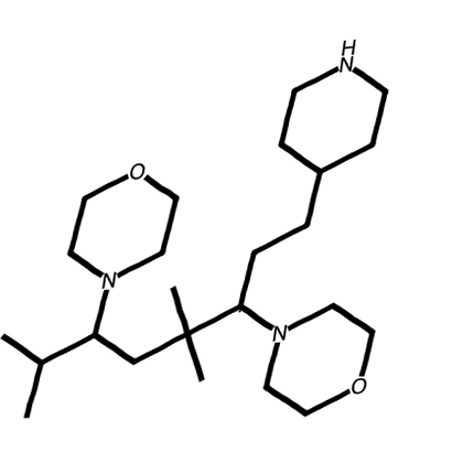 CC(C)C(CC(C)(C)[C](CCC1CCNCC1)N1CCOCC1)N1CCOCC1